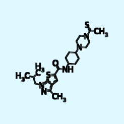 CC(=S)N1CCN(C2CCC(NC(=O)c3cc4c(C)nn(CC(C)C)c4s3)CC2)CC1